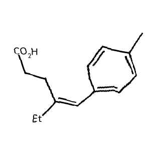 CCC(=Cc1ccc(C)cc1)CCC(=O)O